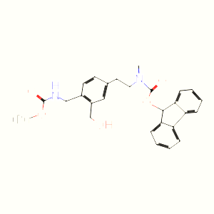 CN(CCc1ccc(CNC(=O)OC(C)(C)C)c(CO)c1)C(=O)OC1c2ccccc2-c2ccccc21